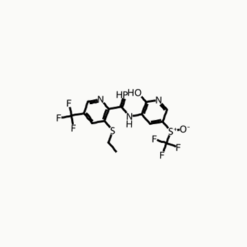 CCSc1cc(C(F)(F)F)cnc1C(=P)Nc1cc([S+]([O-])C(F)(F)F)cnc1O